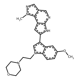 COc1ccc2c(c1)c(-c1cc3c(ncc4cnn(C)c43)[nH]1)cn2CCN1CCOCC1